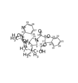 CCN[C@H]1[C@H](C(C)(C)C)[C@@H](C(=O)O)N(C(=O)C2Cc3ccccc3O2)[C@H]1c1cccnc1N(C)C